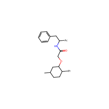 CC(=O)C(Cc1ccccc1)NC(=O)COC1CC(C)CCC1C(C)C